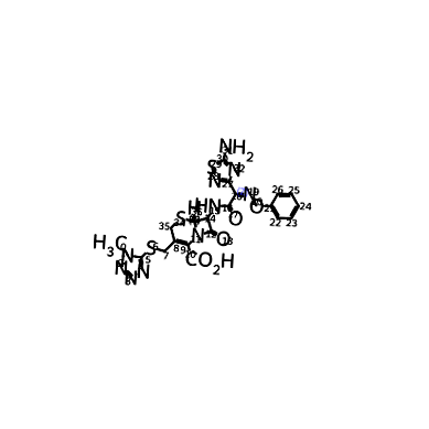 Cn1nnnc1SCC1=C(C(=O)O)N2C(=O)C(NC(=O)/C(=N\Oc3ccccc3)c3nsc(N)n3)[C@H]2SC1